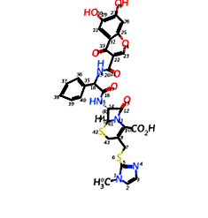 Cn1ccnc1SCC1=C(C(=O)O)N2C(=O)[C@@H](NC(=O)C(NC(=O)c3coc4cc(O)c(O)cc4c3=O)c3ccccc3)[C@@H]2SC1